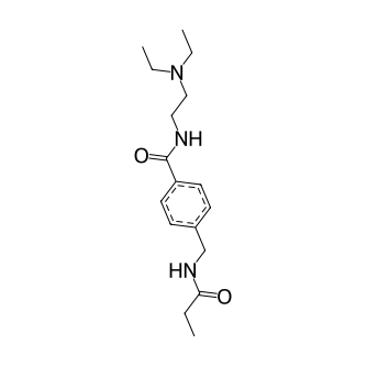 CCC(=O)NCc1ccc(C(=O)NCCN(CC)CC)cc1